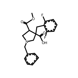 COC(=O)C1CN(Cc2ccccc2)CC1(Cc1c(F)cccc1F)C(=O)O